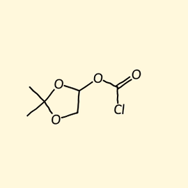 CC1(C)OCC(OC(=O)Cl)O1